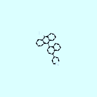 Brc1c2ccccc2c(-c2ccc(-c3ccncc3)c3ccccc23)c2ccccc12